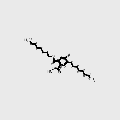 CCCCCCCCOC(=O)c1cc(O)c(CCCCCCCC)cc1C(=O)OO